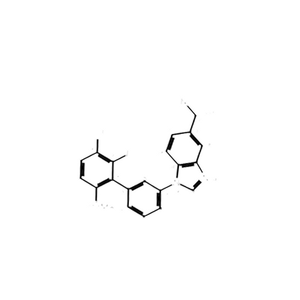 COc1ccc(F)c(F)c1-c1cccc(-n2cnc3cc([C@@H](C)N)ccc32)c1